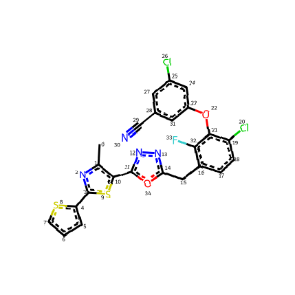 Cc1nc(-c2cccs2)sc1-c1nnc(Cc2ccc(Cl)c(Oc3cc(Cl)cc(C#N)c3)c2F)o1